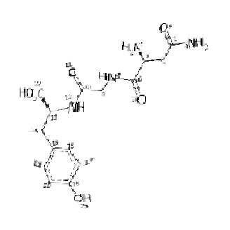 NC(=O)C[C@H](N)C(=O)NCC(=O)N[C@@H](Cc1ccc(O)cc1)C(=O)O